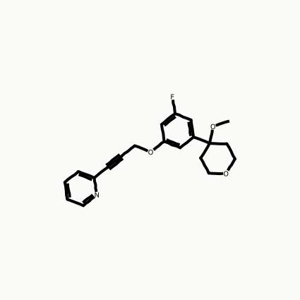 COC1(c2cc(F)cc(OCC#Cc3ccccn3)c2)CCOCC1